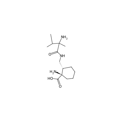 CC(C)C(C)(N)C(=O)NC[C@@H]1CCCC[C@]1(N)C(=O)O